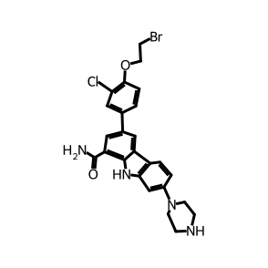 NC(=O)c1cc(-c2ccc(OCCBr)c(Cl)c2)cc2c1[nH]c1cc(N3CCNCC3)ccc12